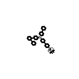 CC1(C)OB(c2ccc(-c3ccc(N(c4ccc(-c5ccccc5)cc4)c4ccc(-c5ccccc5-c5ccccc5)cc4)cc3)cc2)OC1(C)C